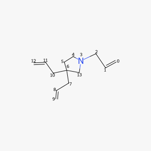 C=CCN1CCC(CC=C)(CC=C)C1